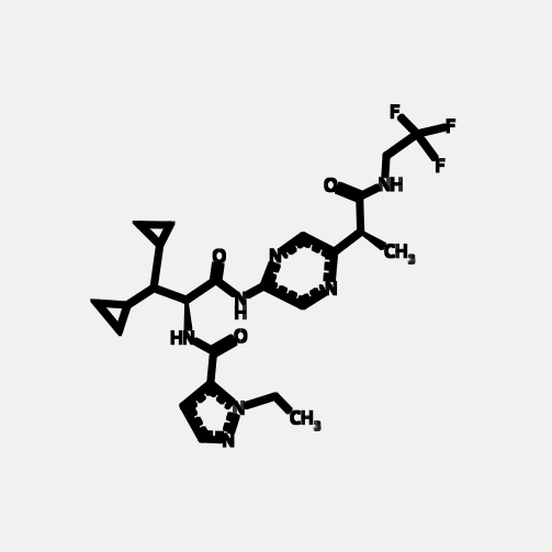 CCn1nccc1C(=O)N[C@H](C(=O)Nc1cnc([C@H](C)C(=O)NCC(F)(F)F)cn1)C(C1CC1)C1CC1